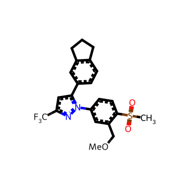 COCc1cc(-n2nc(C(F)(F)F)cc2-c2ccc3c(c2)CCC3)ccc1S(C)(=O)=O